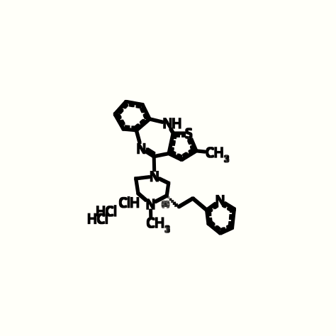 Cc1cc2c(s1)Nc1ccccc1N=C2N1CCN(C)[C@@H](CCc2ccccn2)C1.Cl.Cl.Cl